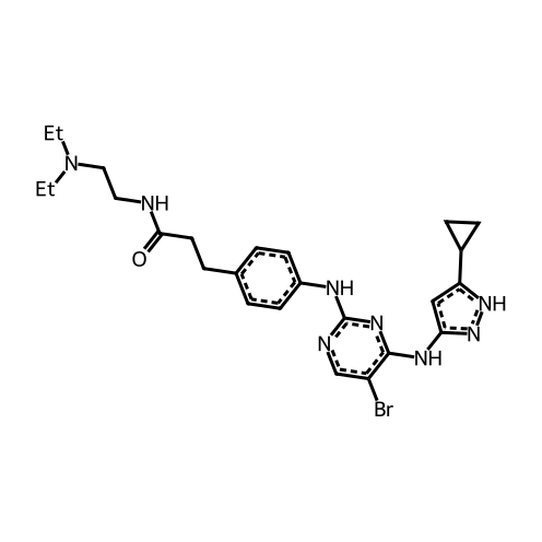 CCN(CC)CCNC(=O)CCc1ccc(Nc2ncc(Br)c(Nc3cc(C4CC4)[nH]n3)n2)cc1